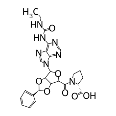 CCNC(=O)Nc1ncnc2c1ncn2C1OC(C(=O)N2CCC[C@@H]2C(=O)O)C2O[C@@H](c3ccccc3)OC21